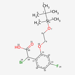 CC(C)(C)[Si](C)(C)OCCOc1cc(F)ccc1C(Br)C(=O)O